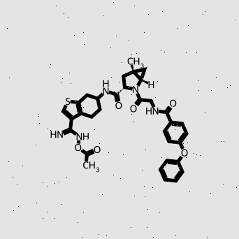 CC(=O)ONC(=N)c1csc2c1CCC(NC(=O)[C@@H]1C[C@]3(C)C[C@@H]3N1C(=O)CNC(=O)c1ccc(Oc3ccccc3)cc1)C2